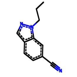 CCCn1ncc2ccc(C#N)cc21